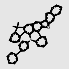 CC1(C)c2ccccc2-c2c(N(c3ccc(-c4ccccc4)cc3)c3ccccc3-c3cccc4c3oc3cc5ccccc5cc34)cccc21